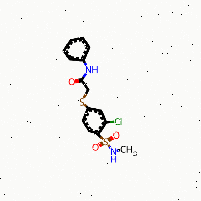 CNS(=O)(=O)c1ccc(SCC(=O)Nc2ccccc2)cc1Cl